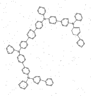 C1=C(c2ccccc2)CCC(N(c2ccccc2)c2ccc(-c3ccc(N(c4ccccc4)c4ccc(-c5ccc(-c6ccc(N(c7ccccc7)c7ccc(-c8ccc(N(c9ccccc9)c9ccc(-c%10ccccc%10)cc9)cc8)cc7)cc6)cc5)cc4)cc3)cc2)=C1